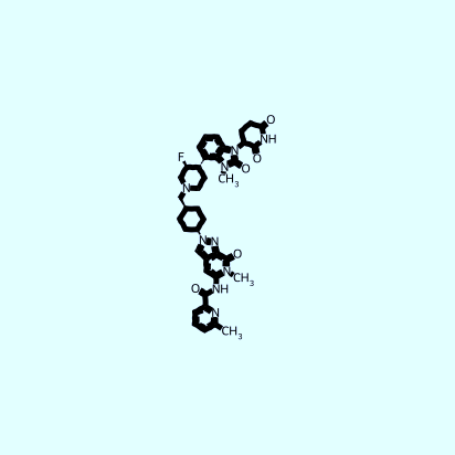 Cc1cccc(C(=O)Nc2cc3cn([C@H]4CC[C@H](CN5CC[C@@H](c6cccc7c6n(C)c(=O)n7C6CCC(=O)NC6=O)[C@H](F)C5)CC4)nc3c(=O)n2C)n1